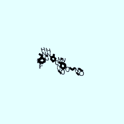 Cc1cc(Oc2ncnc3cc(OCCCN4CCOCC4)c4c(c23)OCCO4)ccc1NC(=O)NC(C)c1ccc(F)cc1